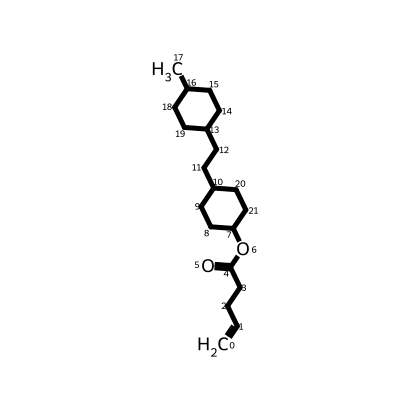 C=CCCC(=O)OC1CCC(CCC2CCC(C)CC2)CC1